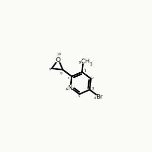 Cc1cc(Br)cnc1C1CO1